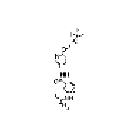 CC(=O)Nc1cc(C(=O)NCc2ccc(OCCOC(F)(F)F)nc2)ccn1